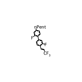 CCCCCc1ccc(-c2ccc(/C=C/C(F)(F)F)c(F)c2)c(F)c1